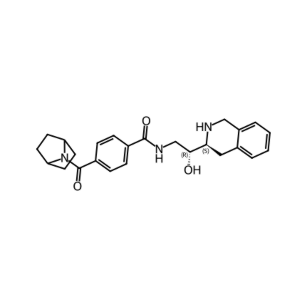 O=C(NC[C@@H](O)[C@@H]1Cc2ccccc2CN1)c1ccc(C(=O)N2C3CCC2CC3)cc1